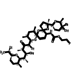 CC[C@@H](C(=O)[C@@H](C)[C@@H](O)[C@H](C)[C@@H]1O[C@@H]([C@@H](CC)C(=O)O)CC[C@@H]1C)[C@H]1O[C@]2(C=CC(NC(=O)OCCF)[C@]3(CC[C@@](C)([C@H]4CC[C@](O)(CC)[C@H](C)O4)O3)O2)[C@H](C)C[C@@H]1C